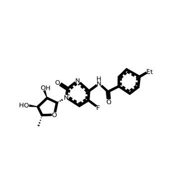 CCc1ccc(C(=O)Nc2nc(=O)n([C@@H]3O[C@H](C)[C@@H](O)[C@H]3O)cc2F)cc1